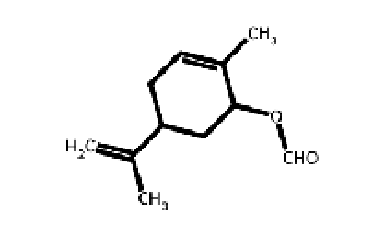 C=C(C)C1CC=C(C)C(OC=O)C1